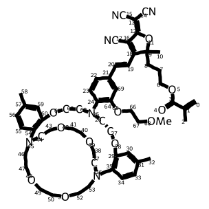 C=C(C)C(=O)OCCCC1(C)OC(=C(C#N)C#N)C(C#N)=C1/C=C/c1ccc(N2CCOc3cc(C)ccc3N3CCOCCOCCN(CCOCCOCC3)c3ccc(C)cc3OCC2)c(OCCOC)c1